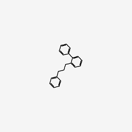 c1ccc(CCCc2ccccc2-c2ccccc2)cc1